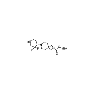 CC(C)(C)OC(=O)N1CC2(CCN(C3CCNCC3(F)F)CC2)C1